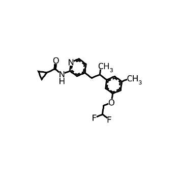 Cc1cc(OCC(F)F)cc(C(C)Cc2ccnc(NC(=O)C3CC3)c2)c1